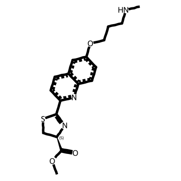 CNCCCOc1ccc2nc(C3=N[C@@H](C(=O)OC)CS3)ccc2c1